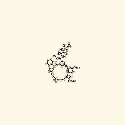 C=C[C@@H]1CC1(NC(=O)[C@@H]1C[C@@H]2CN1C(=O)[C@H](C1CCCCC1)NC(=O)OCC(C)(C)CCCc1cc3c(cc(SCC)nc3cc1OC)O2)C(=O)NS(=O)(=O)C1CC1